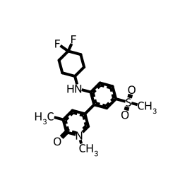 Cc1cc(-c2cc(S(C)(=O)=O)ccc2NC2CCC(F)(F)CC2)cn(C)c1=O